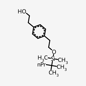 CCCC(C)(C)[Si](C)(C)OCCc1ccc(CCO)cc1